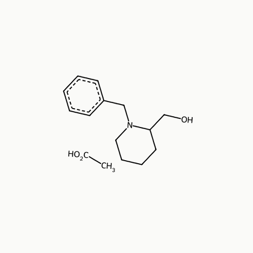 CC(=O)O.OCC1CCCCN1Cc1ccccc1